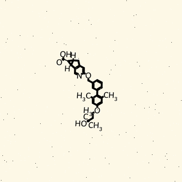 Cc1cc(OCCC(C)(C)O)cc(C)c1-c1cccc(COc2cc3c(cn2)[C@H]2[C@@H](C3)[C@@H]2C(=O)O)c1